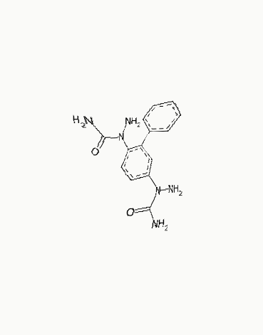 NC(=O)N(N)c1ccc(N(N)C(N)=O)c(-c2ccccc2)c1